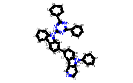 c1ccc(-c2nc(-c3ccccc3)nc(-n3c4ccccc4c4ccc(-c5ccc6c(c5)c5cnccc5n6-c5ccccc5)cc43)n2)cc1